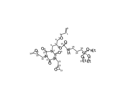 C=CCOCC(Cn1c(=O)n(CC2CO2)c(=O)n(CC2CO2)c1=O)OC(=O)NCCC[Si](OCC)(OCC)OCC